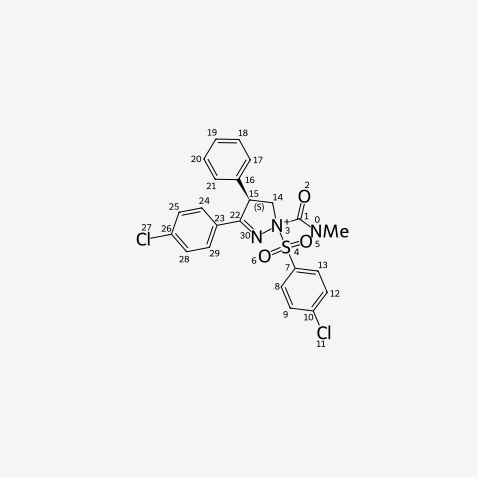 CNC(=O)[N+]1(S(=O)(=O)c2ccc(Cl)cc2)C[C@H](c2ccccc2)C(c2ccc(Cl)cc2)=N1